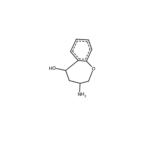 NC1COc2ccccc2C(O)C1